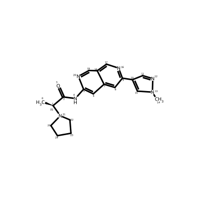 C[C@@H](C(=O)Nc1cc2cc(-c3cnn(C)c3)ncc2cn1)N1CCCC1